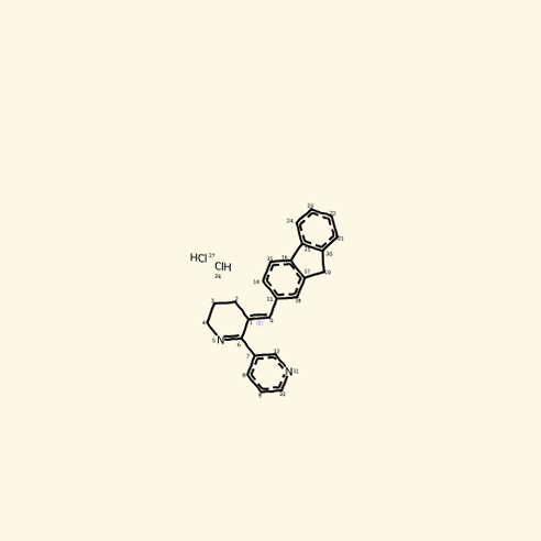 C(=C1/CCCN=C1c1cccnc1)/c1ccc2c(c1)Cc1ccccc1-2.Cl.Cl